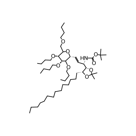 CCCCCCCCCCCCCC[C@H]1OC(C)(C)O[C@H]1[C@H](/C=C/[C@H]1OC(COCCCC)[C@H](OCCCC)[C@H](OCCCC)C1OCCCC)NC(=O)OC(C)(C)C